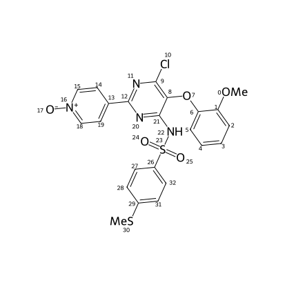 COc1ccccc1Oc1c(Cl)nc(-c2cc[n+]([O-])cc2)nc1NS(=O)(=O)c1ccc(SC)cc1